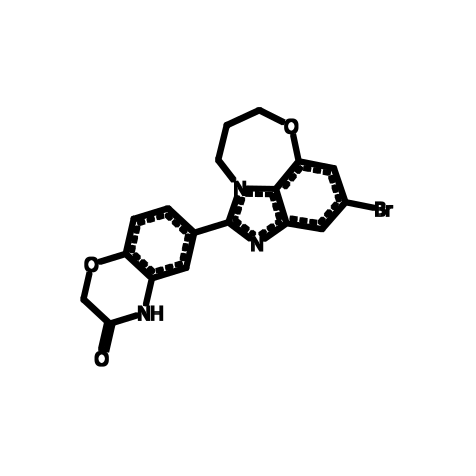 O=C1COc2ccc(-c3nc4cc(Br)cc5c4n3CCCO5)cc2N1